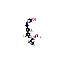 CCOC(=O)C(c1ncn2c1C[C@@H](F)C2)n1cc2c(C(F)F)cc(-c3ccc(C4CC(CN5CCC(CO)CC5)C4)cc3)c(C)c2n1